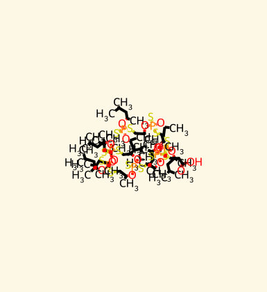 CC(C)CC(C)OP(=S)(OC(C)CC(C)C)SCC(C)OP(=S)(OC(C)CSP(=S)(OC(C)CC(C)C)OC(C)CC(C)C)SCC(C)OP(=S)(OC(C)CSP(=S)(OC(C)CSP(=S)(OC(C)CC(C)C)OC(C)CC(C)C)OC(C)CSP(=S)(OC(C)CC(C)C)OC(C)CC(C)C)SCCC(=O)O